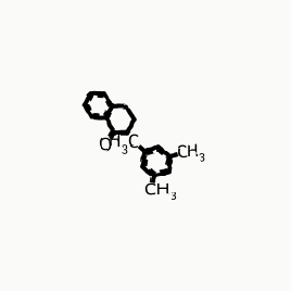 Cc1cc(C)cc(C)c1.O=C1CCCc2ccccc21